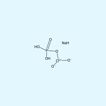 O=P(O)(O)O[Cl+2]([O-])[O-].[NaH]